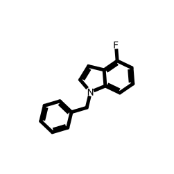 Fc1cccc2c1ccn2Cc1ccccc1